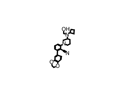 N#Cc1c(-c2ccc3c(c2)OCCO3)cccc1N1CCCC(N(CO)C2CCC2)C1